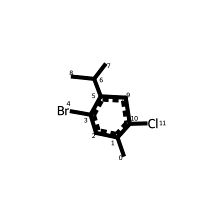 Cc1cc(Br)c(C(C)C)cc1Cl